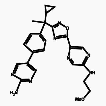 COCCNc1cnc(-c2nc(C(C)(c3ccc(-c4cnc(N)nc4)cc3)C3CC3)no2)cn1